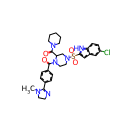 CN1CCN=C1c1ccc(C(=O)N2CCN(S(=O)(=O)c3cc4cc(Cl)ccc4[nH]3)CC2C(=O)N2CCCCC2)cc1